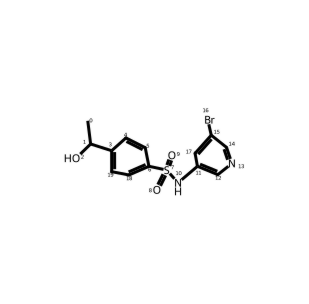 CC(O)c1ccc(S(=O)(=O)Nc2cncc(Br)c2)cc1